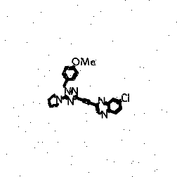 COc1ccc(Cn2nc(C#Cc3cnc4ccc(Cl)cc4n3)nc2N2CCCC2)cc1